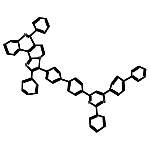 c1ccc(-c2ccc(-c3cc(-c4ccc(-c5ccc(-c6c(-c7ccccc7)nc7c8c(ccn67)c(-c6ccccc6)nc6ccccc68)cc5)cc4)nc(-c4ccccc4)n3)cc2)cc1